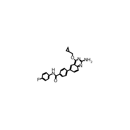 Nc1nc(OCC2CC2)c2cc(-c3ccc(C(=O)Nc4ccc(F)cc4)cc3)ccc2n1